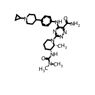 C[C@@H]1[C@H](NC(=O)N(C)C)CCCN1c1nnc(C(N)=O)c(Nc2ccc(C3CCN(C4CC4)CC3)cc2)n1